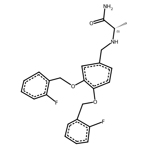 C[C@H](NCc1ccc(OCc2ccccc2F)c(OCc2ccccc2F)c1)C(N)=O